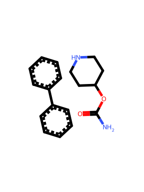 NC(=O)OC1CCNCC1.c1ccc(-c2ccccc2)cc1